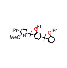 CCOc1cc(C(C)(C)c2ccccc2OC(C)C)ccc1C(C)(C)c1ccc(C(C)C)c(OC)n1